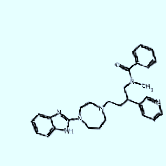 CN(CC(CCN1CCCN(c2nc3ccccc3[nH]2)CC1)c1cccnc1)C(=O)c1ccccc1